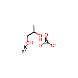 CC(O)CO.O=[Si]([O-])[O-].[K+].[K+]